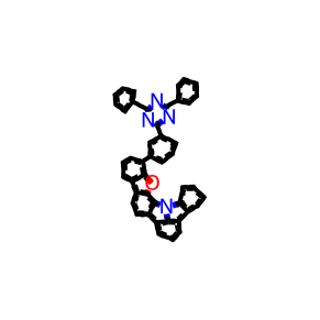 c1ccc(-c2nc(-c3ccccc3)nc(-c3cccc(-c4cccc5c4oc4c5ccc5c6cccc7c8ccccc8n(c76)c54)c3)n2)cc1